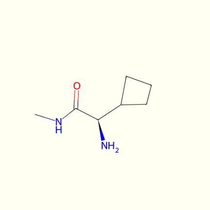 CNC(=O)[C@H](N)C1CCC1